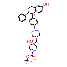 CC(C)(C)OC(=O)N1CCC(O)(CN2CCN(c3ccc([C@@H]4c5ccc(O)cc5CCC4c4ccccc4)cc3)CC2)CC1